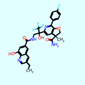 CCc1cnc2c(O)cc(C(=O)NCC(O)(c3cc4c(c(-c5ccc(F)cc5)n3)OC[C@]4(C)C(N)=O)C(F)(F)F)cc2c1